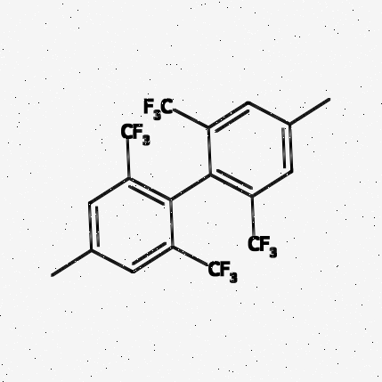 Cc1cc(C(F)(F)F)c(-c2c(C(F)(F)F)cc(C)cc2C(F)(F)F)c(C(F)(F)F)c1